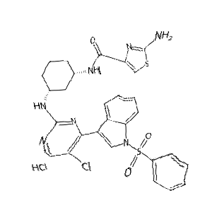 Cl.Nc1nc(C(=O)N[C@H]2CCC[C@@H](Nc3ncc(Cl)c(-c4cn(S(=O)(=O)c5ccccc5)c5ccccc45)n3)C2)cs1